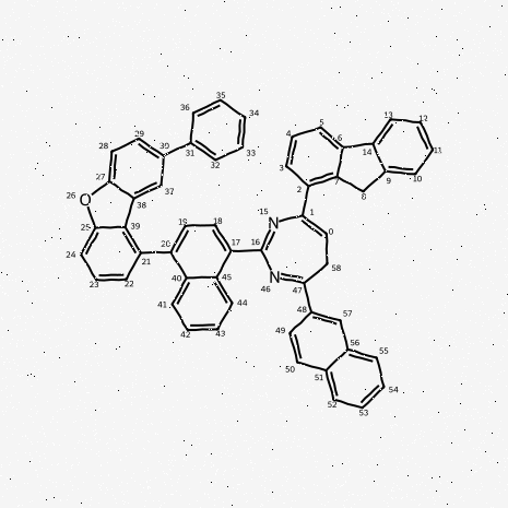 C1=C(c2cccc3c2Cc2ccccc2-3)N=C(c2ccc(-c3cccc4oc5ccc(-c6ccccc6)cc5c34)c3ccccc23)N=C(c2ccc3ccccc3c2)C1